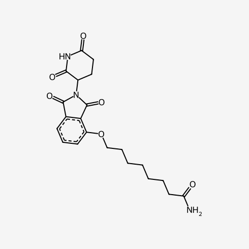 NC(=O)CCCCCCCOc1cccc2c1C(=O)N(C1CCC(=O)NC1=O)C2=O